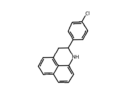 Clc1ccc(C2Cc3cccc4cccc(c34)N2)cc1